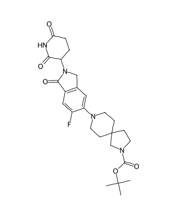 CC(C)(C)OC(=O)N1CCC2(CCN(c3cc4c(cc3F)C(=O)N(C3CCC(=O)NC3=O)C4)CC2)C1